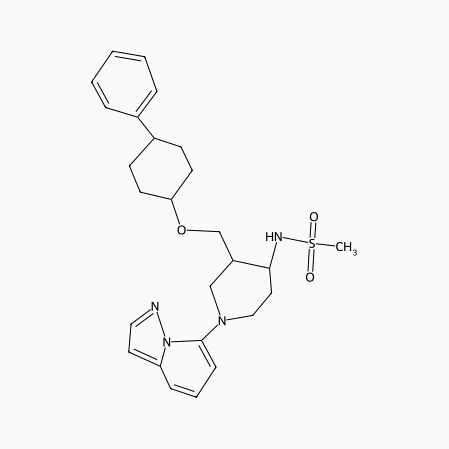 CS(=O)(=O)NC1CCN(c2cccc3ccnn23)CC1COC1CCC(c2ccccc2)CC1